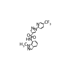 Cn1ncc2cccc(NS(=O)(=O)c3cnn(-c4ccc(C(F)(F)F)cn4)c3)c21